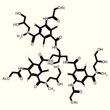 CC(=O)OCC(=O)Nc1c(I)c(C(=O)NCC(CO)(CNC(=O)c2c(I)c(NC(=O)COC(C)=O)c(I)c(C(=O)N(C)CC(O)CO)c2I)CNC(=O)c2c(I)c(NC(=O)COC(C)=O)c(I)c(C(=O)N(C)CC(O)CO)c2I)c(I)c(C(=O)N(C)CC(O)CO)c1I